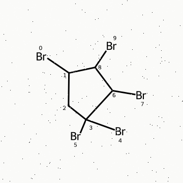 BrC1CC(Br)(Br)C(Br)C1Br